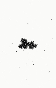 c1ccc(-c2c3ccccc3c(-c3ccc(-n4c5ccc6ccccc6c5c5cc(-c6ccccc6)c6ccccc6c54)cc3)c3ccccc23)cc1